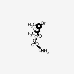 Cc1cc(Br)cc2c1OC(C(F)(F)F)C(C(=O)OCOC(=O)OCCON)=C2